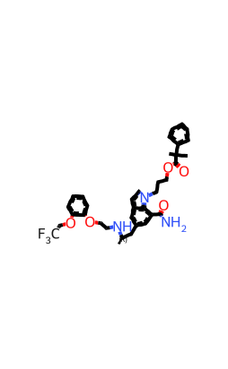 C[C@H](Cc1cc(C(N)=O)c2c(ccn2CCCOC(=O)C(C)(C)c2ccccc2)c1)NCCOc1ccccc1OCC(F)(F)F